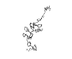 Cc1ncsc1-c1ccc(CNC(=O)[C@@H]2CCCN2C(=O)C(NC(=O)CCOCCOCCN)C(C)(C)C)cc1